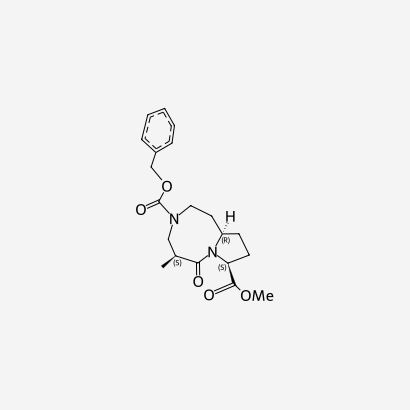 COC(=O)[C@@H]1CC[C@@H]2CCN(C(=O)OCc3ccccc3)C[C@H](C)C(=O)N21